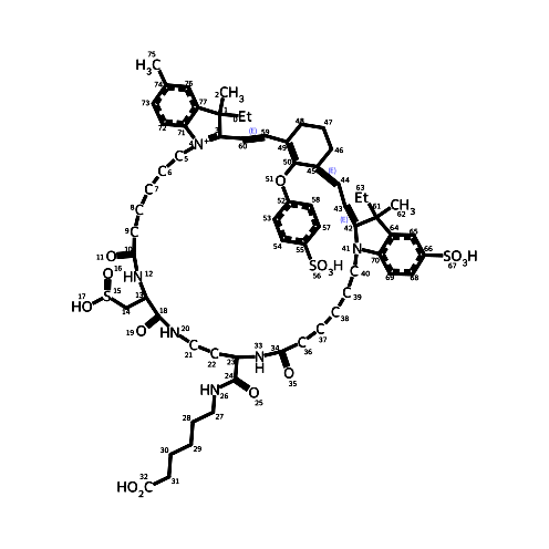 CCC1(C)C2=[N+](CCCCCC(=O)NC(CS(=O)O)C(=O)NCCC(C(=O)NCCCCCC(=O)O)NC(=O)CCCCCN3/C(=C/C=C4\CCCC(=C4Oc4ccc(S(=O)(=O)O)cc4)/C=C/2)C(C)(CC)c2cc(S(=O)(=O)O)ccc23)c2ccc(C)cc21